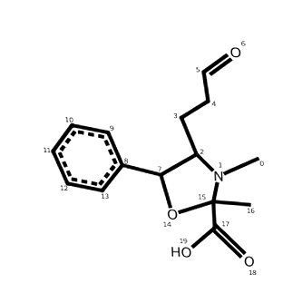 CN1C(CCC=O)C(c2ccccc2)OC1(C)C(=O)O